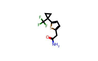 NC(=O)Cc1ccc(C2(C(F)(F)F)CC2)s1